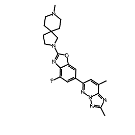 Cc1nc2c(C)cc(-c3cc(F)c4nc(N5CCC6(CCN(C)CC6)C5)oc4c3)nn2n1